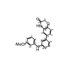 COc1cccc(Nc2nccc(-c3ccc4c(c3)NC(=O)CO4)n2)c1